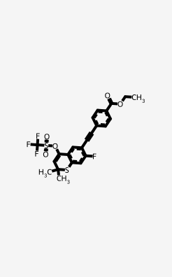 CCOC(=O)c1ccc(C#Cc2cc3c(cc2F)SC(C)(C)C=C3OS(=O)(=O)C(F)(F)F)cc1